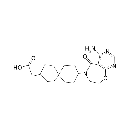 Nc1ncnc2c1C(=O)N(C1CCC3(CCC(CC(=O)O)CC3)CC1)CCO2